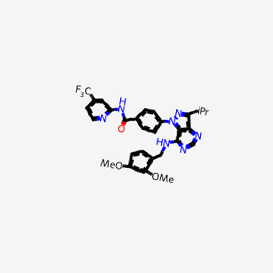 COc1ccc(CNc2ncnc3c(C(C)C)nn(-c4ccc(C(=O)Nc5cc(C(F)(F)F)ccn5)cc4)c23)c(OC)c1